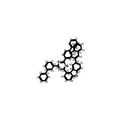 c1ccc(-c2ccc(-c3nc(-c4cccc(-c5ccccc5)c4)nc(-c4cccc5sc6ccc(-c7ccc8ccccc8c7)cc6c45)n3)cc2)cc1